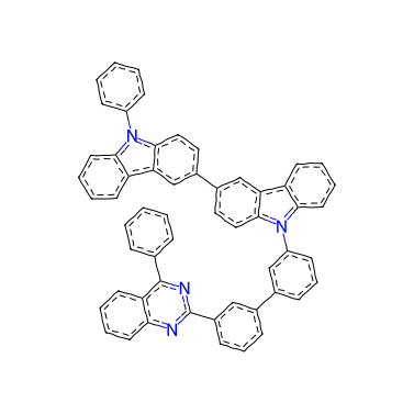 c1ccc(-c2nc(-c3cccc(-c4cccc(-n5c6ccccc6c6cc(-c7ccc8c(c7)c7ccccc7n8-c7ccccc7)ccc65)c4)c3)nc3ccccc23)cc1